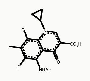 CC(=O)Nc1c(F)c(F)c(F)c2c1c(=O)c(C(=O)O)cn2C1CC1